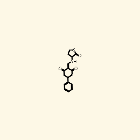 O=C1CC(c2ccccc2)CC(=O)C1=CNC1CCSC1=O